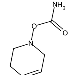 NC(=O)ON1CC=CCC1